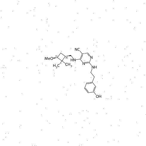 CO[C@H]1C[C@@H](CNc2nc(NCCc3cccc(O)c3)ncc2C#N)C1(C)C